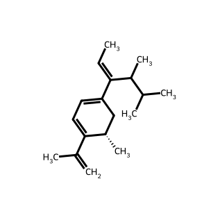 C=C(C)C1=CC=C(/C(=C/C)C(C)C(C)C)C[C@@H]1C